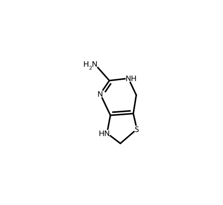 NC1=NC2=C(CN1)SCN2